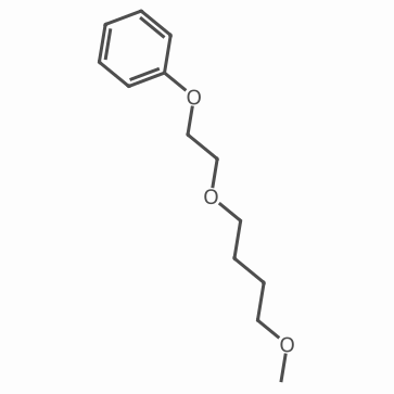 COCCCCOCCOc1ccccc1